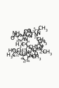 CCn1nc(C)cc1C(=O)/N=c1\n(C)c2cc(C(N)=O)ccc2n1C/C(C)=C(\C)Cn1/c(=N/C(=O)c2cc(C)nn2CC)n(C)c2cccc(OCC(C)(C)O)c21